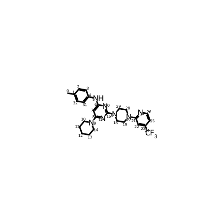 Cc1ccc(Nc2cc(N3CCCCC3)nc(N3CCN(c4cc(C(F)(F)F)ccn4)CC3)n2)cc1